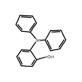 CCCCCCCCc1cccc[c]1[Sn]([c]1ccccc1)[c]1ccccc1